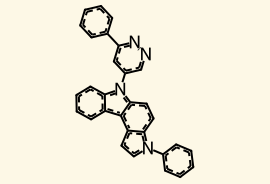 c1ccc(-c2cc(-n3c4ccccc4c4c5ccn(-c6ccccc6)c5ccc43)cnn2)cc1